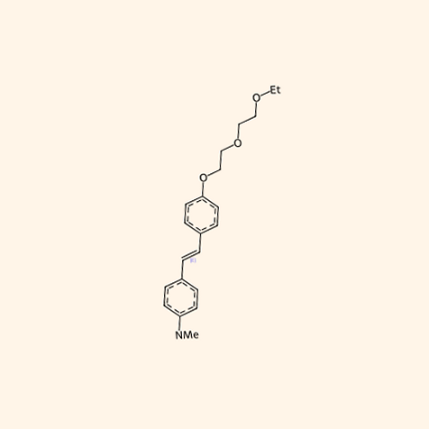 [CH2]COCCOCCOc1ccc(/C=C/c2ccc(NC)cc2)cc1